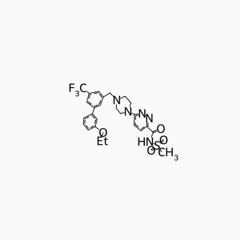 CCOc1cccc(-c2cc(CN3CCN(c4ccc(C(=O)NS(C)(=O)=O)nn4)CC3)cc(C(F)(F)F)c2)c1